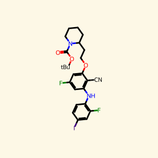 CC(C)(C)OC(=O)N1CCCCC1CCOc1cc(F)cc(Nc2ccc(I)cc2F)c1C#N